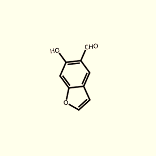 O=Cc1cc2ccoc2cc1O